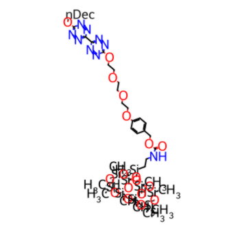 CCCCCCCCCCOc1nnc(-c2nnc(OCCOCCOCCOc3ccc(COC(=O)NCC[SiH2]O[Si]45O[SiH](C)O[Si](C)(C)O[Si](C)(O[Si]6(C)O[Si](C)(C)O[SiH](C)O[Si](C)(O6)O4)O5)cc3)nn2)nn1